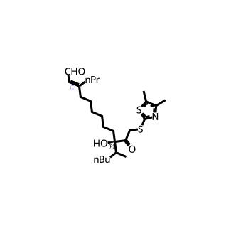 CCCCC(C)[C@](O)(CCCCCC/C(=C/C=O)CCC)C(=O)CSc1nc(C)c(C)s1